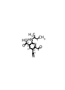 CCC(C)Nc1nc(C=O)c(C#N)cc1C(=O)O